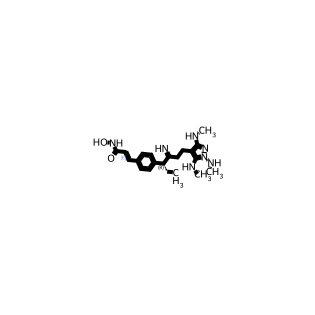 CC[C@@H](C(=N)CCc1c(NC)nn(NC)c1NC)c1ccc(/C=C/C(=O)NO)cc1